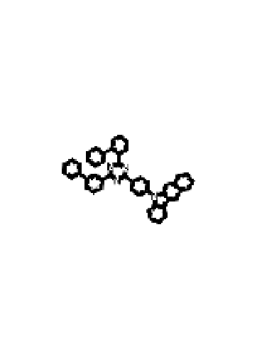 c1ccc(-c2cccc(-c3nc(-c4ccc(-n5c6ccccc6c6cc7ccccc7cc65)cc4)nc(-c4ccccc4-c4ccccc4)n3)c2)cc1